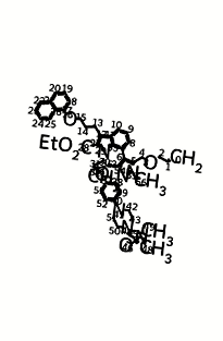 C=CCOCc1c(-c2cccc3c(CCCOc4cccc5ccccc45)c(C(=O)OCC)n(CC=C)c23)c(COc2ccc(N3CCN([S+]([O-])N(C)C)CC3)cc2)nn1C